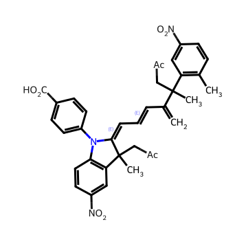 C=C(/C=C/C=C1/N(c2ccc(C(=O)O)cc2)c2ccc([N+](=O)[O-])cc2C1(C)CC(C)=O)C(C)(CC(C)=O)c1cc([N+](=O)[O-])ccc1C